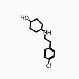 OC1CCC(NCCc2ccc(Cl)cc2)CC1